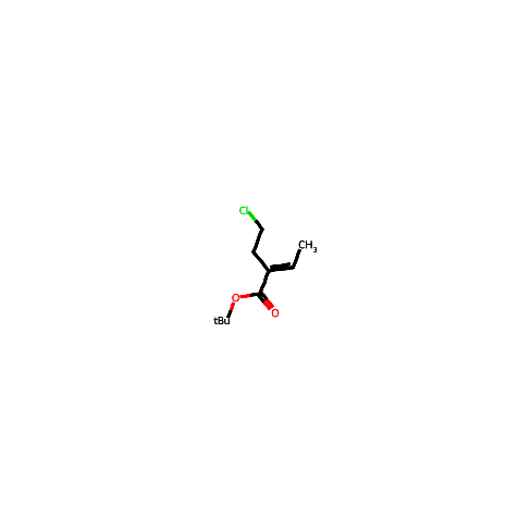 CC=C(CCCl)C(=O)OC(C)(C)C